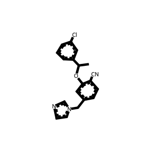 CC(Oc1cc(Cn2ccnc2)ccc1C#N)c1cccc(Cl)c1